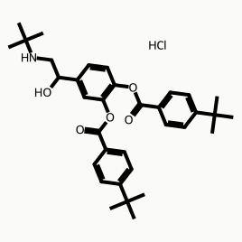 CC(C)(C)NCC(O)c1ccc(OC(=O)c2ccc(C(C)(C)C)cc2)c(OC(=O)c2ccc(C(C)(C)C)cc2)c1.Cl